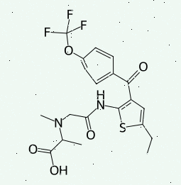 CCc1cc(C(=O)c2ccc(OC(F)(F)F)cc2)c(NC(=O)CN(C)C(C)C(=O)O)s1